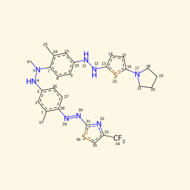 Cc1cc(NN(C)c2ccc(NNc3ccc(N4CCCC4)s3)cc2C)ccc1/N=N/c1nc(C(F)(F)F)cs1